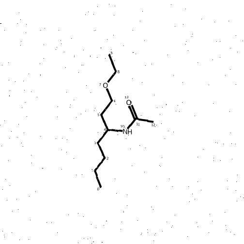 CCCCC(CCOCC)NC(C)=O